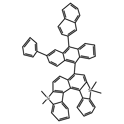 C[Si]1(C)c2ccccc2-c2c1ccc1c(-c3c4ccccc4c(-c4ccc5ccccc5c4)c4cc(-c5ccccc5)ccc34)cc3c(c21)-c1ccccc1[Si]3(C)C